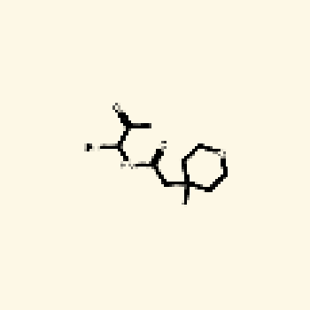 CC1(CC(=O)NC(C(=O)I)C(C)(C)C)CCOCC1